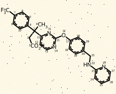 CC(CC(=O)O)(c1ccc(C(F)(F)F)cc1)c1ccnc(Oc2ccc(CNc3ccccn3)cc2)n1